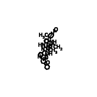 C=CC(=O)Nc1cc(Nc2nc(-c3ccnc(N4CCc5c(oc6c5CCCC6)C4=O)c3CO)cn(C)c2=O)ccc1N1CCN(C2COC2)CC1C